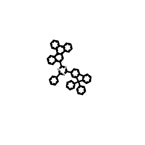 c1ccc(-c2nc(-c3ccc4c(c3)C(c3ccccc3)(c3ccccc3)c3ccccc3-4)nc(-c3cc4c5ccccc5c5ccccc5c4c4ccccc34)n2)cc1